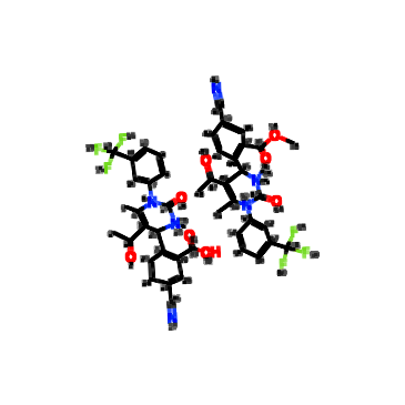 CC(=O)C1=C(C)N(c2cccc(C(F)(F)F)c2)C(=O)N(C)C1c1ccc(C#N)cc1C(=O)O.COC(=O)c1cc(C#N)ccc1C1C(C(C)=O)=C(C)N(c2cccc(C(F)(F)F)c2)C(=O)N1C